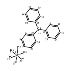 F[P-](F)(F)(F)(F)F.c1ccc([S+](c2ccccc2)c2ccccc2)cc1